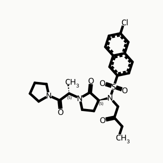 CCC(=O)CN([C@H]1CCN([C@@H](C)C(=O)N2CCCC2)C1=O)S(=O)(=O)c1ccc2cc(Cl)ccc2c1